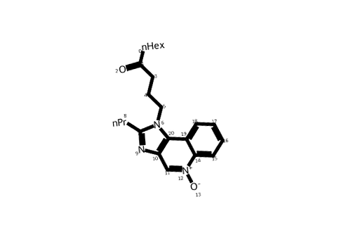 CCCCCCC(=O)CCCn1c(CCC)nc2c[n+]([O-])c3ccccc3c21